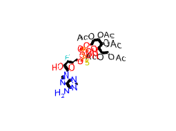 CC(=O)OC[C@@H](OC(C)=O)C1OC(OP(=O)(O)OP(O)(=S)OC[C@H]2O[C@@H](n3cnc4c(N)ncnc43)[C@H](O)[C@@H]2F)C(OC(C)=O)C(OC(C)=O)C1OC(C)=O